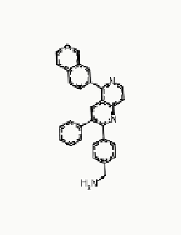 NCc1ccc(-c2nc3ccnc(-c4ccc5ccccc5c4)c3cc2-c2ccccc2)cc1